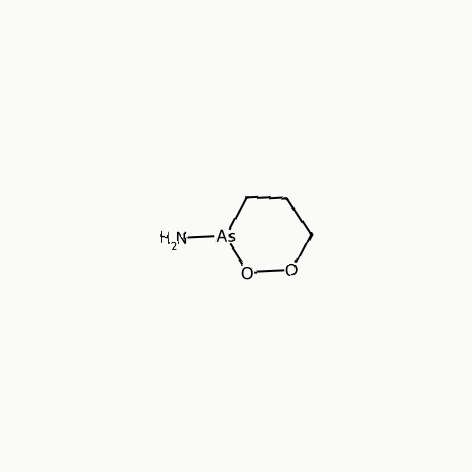 N[As]1CCCOO1